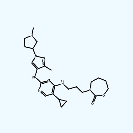 Cc1nn(C2CCN(C)C2)cc1Nc1ncc(C2CC2)c(NCCCN2CCCCOC2=O)n1